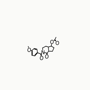 COc1ccc(C(=O)N2CCC3C(OC(C)=O)CCC3C2=O)cc1